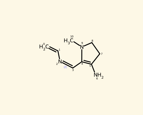 C=C/N=C\C1=C(N)CCN1C